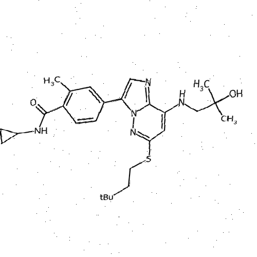 Cc1cc(-c2cnc3c(NCC(C)(C)O)cc(SCCC(C)(C)C)nn23)ccc1C(=O)NC1CC1